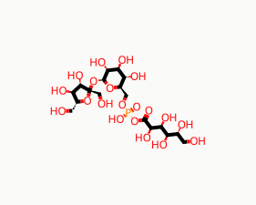 O=C(OP(=O)(O)OC[C@H]1O[C@H](O[C@]2(CO)O[C@H](CO)[C@@H](O)[C@@H]2O)[C@H](O)[C@@H](O)[C@@H]1O)[C@H](O)[C@@H](O)[C@H](O)[C@H](O)CO